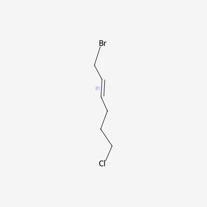 ClCCC/C=C/CBr